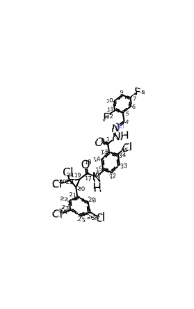 O=C(N/N=C/c1cc(F)ccc1F)c1cc(NC(=O)C2C(c3cc(Cl)cc(Cl)c3)C2(Cl)Cl)ccc1Cl